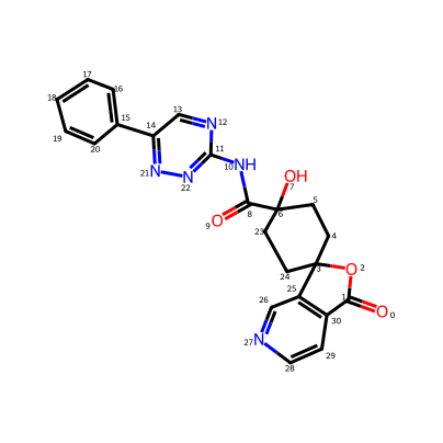 O=C1OC2(CCC(O)(C(=O)Nc3ncc(-c4ccccc4)nn3)CC2)c2cnccc21